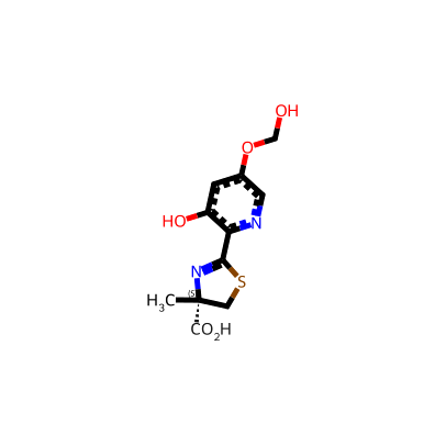 C[C@]1(C(=O)O)CSC(c2ncc(OCO)cc2O)=N1